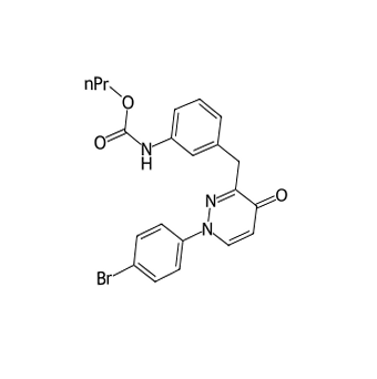 CCCOC(=O)Nc1cccc(Cc2nn(-c3ccc(Br)cc3)ccc2=O)c1